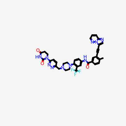 Cc1ccc(C(=O)Nc2ccc(N3CCN(Cc4ccc(N5CCC(=O)NC5=O)nn4)CC3)c(C(F)(F)F)c2)cc1C#Cc1cnc2cccnn12